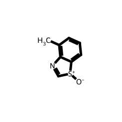 Cc1cccc2c1nc[s+]2[O-]